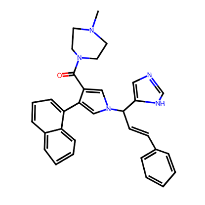 CN1CCN(C(=O)c2cn(C(C=Cc3ccccc3)c3cnc[nH]3)cc2-c2cccc3ccccc23)CC1